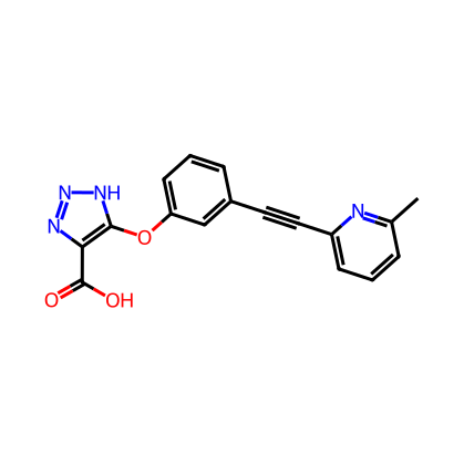 Cc1cccc(C#Cc2cccc(Oc3[nH]nnc3C(=O)O)c2)n1